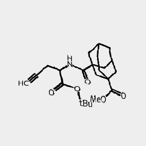 C#CCC(NC(=O)C12CC3CC(C1)CC(C(=O)OC)(C3)C2)C(=O)OC(C)(C)C